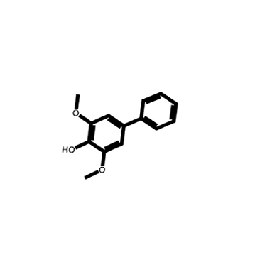 COc1cc(-c2ccccc2)cc(OC)c1O